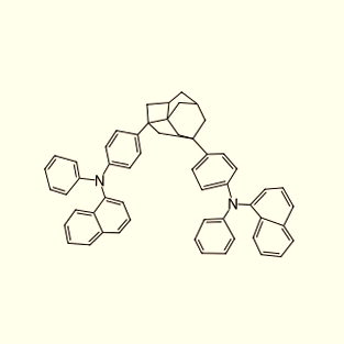 c1ccc(N(c2ccc(C34CC5CC6CC(c7ccc(N(c8ccccc8)c8cccc9ccccc89)cc7)(C3)C6(C5)C4)cc2)c2cccc3ccccc23)cc1